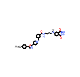 CCN(CCCCNC(=O)c1cccc(C[n+]2ccc(-c3ncc(-c4ccc(OC)cc4)o3)cc2)c1)c1ccc2c(=O)[nH][nH]c(=O)c2c1